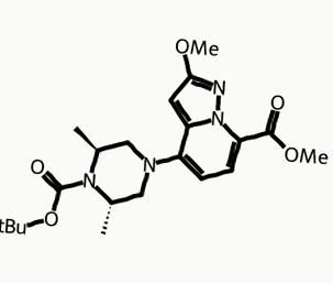 COC(=O)c1ccc(N2C[C@H](C)N(C(=O)OC(C)(C)C)[C@@H](C)C2)c2cc(OC)nn12